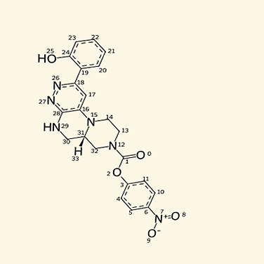 O=C(Oc1ccc([N+](=O)[O-])cc1)N1CCN2c3cc(-c4ccccc4O)nnc3NC[C@H]2C1